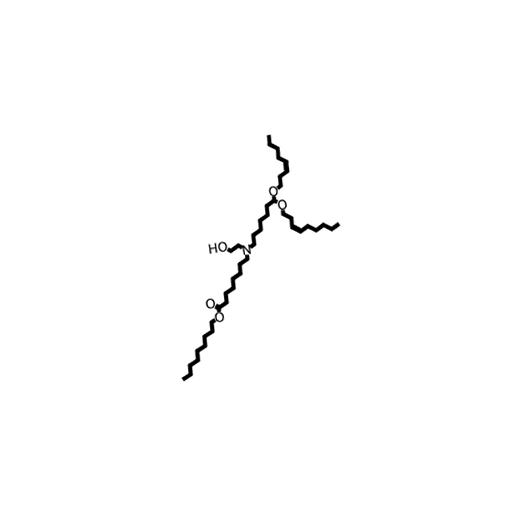 CCCC/C=C\CCOC(CCCCCCN(CCO)CCCCCCCC(=O)OCCCCCCCCC)OCC/C=C\CCCCC